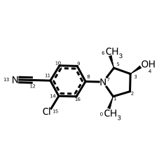 C[C@@H]1C[C@H](O)[C@H](C)N1c1ccc(C#N)c(Cl)c1